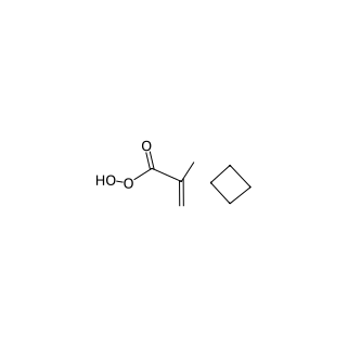 C1CCC1.C=C(C)C(=O)OO